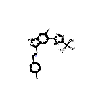 CC(C)(O)c1nnc(-c2cc3c(/C=C/c4ccc(F)cc4)n[nH]c3cc2F)[nH]1